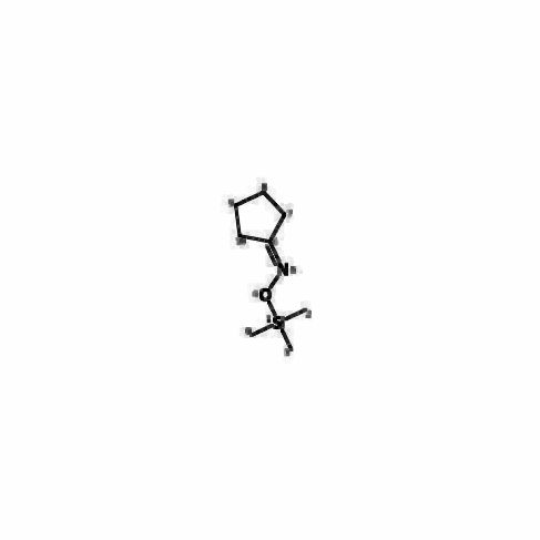 C[Si](C)(C)ON=C1CCCC1